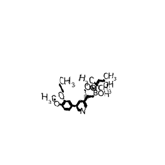 CCCOc1cc(-c2cncc([C@H](CO)CB(O)OC(C)(C)CC(C)O)c2)ccc1OC